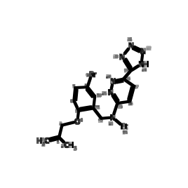 C=C(C)COc1ccc(Br)cc1CN(CC)c1ccc(-c2nnn[nH]2)nn1